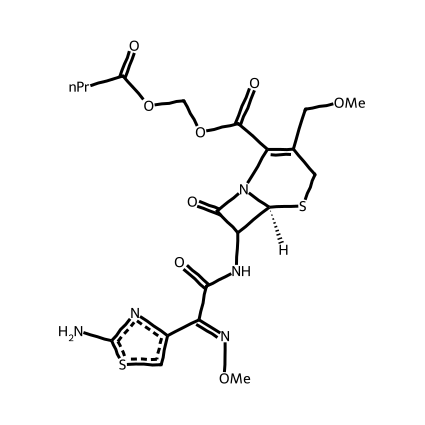 CCCC(=O)OCOC(=O)C1=C(COC)CS[C@H]2C(NC(=O)C(=NOC)c3csc(N)n3)C(=O)N12